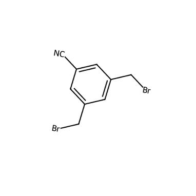 N#Cc1cc(CBr)cc(CBr)c1